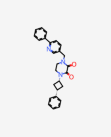 O=C1C(=O)N([C@H]2C[C@@H](c3ccccc3)C2)CCN1Cc1ccc(-c2ccccc2)nc1